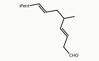 CCCC(C)C=CCC(C)C=CC[C]=O